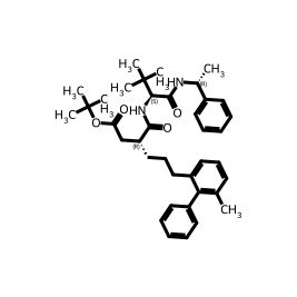 Cc1cccc(CCC[C@H](CC(=O)OC(C)(C)C)C(=O)N[C@H](C(=O)N[C@H](C)c2ccccc2)C(C)(C)C)c1-c1ccccc1